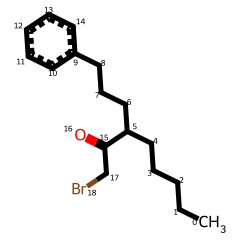 CCCCCC(CCCc1ccccc1)C(=O)CBr